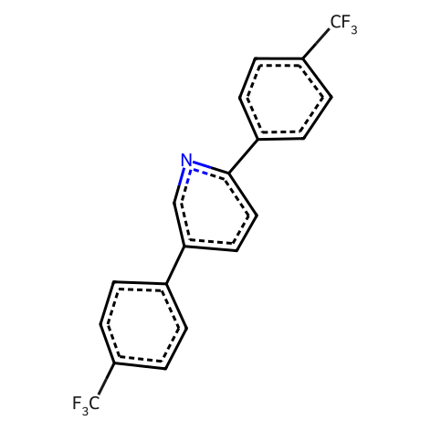 FC(F)(F)c1ccc(-c2ccc(-c3ccc(C(F)(F)F)cc3)nc2)cc1